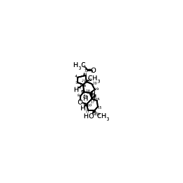 CC(=O)[C@H]1CC[C@H]2[C@@H]3CO[C@@H]4C[C@](C)(O)CC[C@@H]4[C@H]3CC[C@]12C